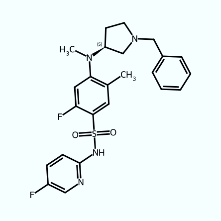 Cc1cc(S(=O)(=O)Nc2ccc(F)cn2)c(F)cc1N(C)[C@H]1CCN(Cc2ccccc2)C1